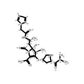 CC(=O)C1=C(S[C@@H]2CN[C@H](C(=O)N(C)C)C2)[C@H](C)[C@@H]2[C@@H]([C@@H](C)NC(=O)Cn3cncn3)C(=O)N12